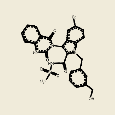 CS(=O)(=O)NC(=O)c1c(-n2c(=O)[nH]c3ccccc3c2=O)c2cc(Br)ccc2n1Cc1cccc(CO)c1